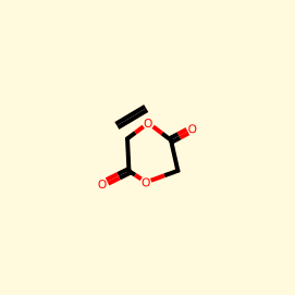 C=C.O=C1COC(=O)CO1